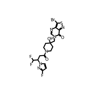 O=C(CC(C(F)F)n1ccc(F)n1)N1CCC(O)(Cn2cnc3c(Br)snc3c2=O)CC1